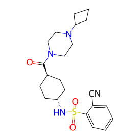 N#Cc1ccccc1S(=O)(=O)N[C@H]1CC[C@H](C(=O)N2CCN(C3CCC3)CC2)CC1